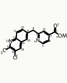 COC(=O)c1ccnc(Cc2ccc3nc(C)c(Cl)cc3c2)c1